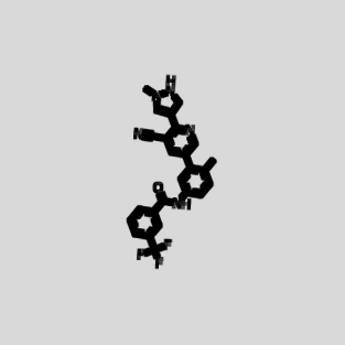 Cc1ccc(NC(=O)c2cccc(C(F)(F)F)c2)cc1-c1cnc(C2=CN(C)NC2)c(C#N)c1